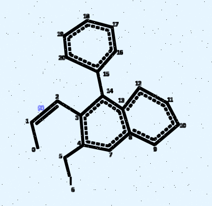 C/C=C\c1c(CI)cc2ccccc2c1-c1ccccc1